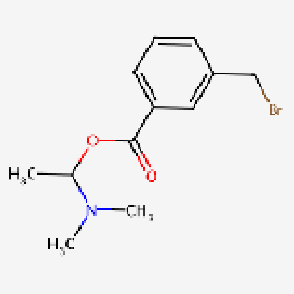 CC(OC(=O)c1cccc(CBr)c1)N(C)C